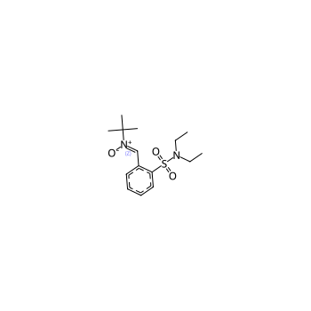 CCN(CC)S(=O)(=O)c1ccccc1/C=[N+](\[O-])C(C)(C)C